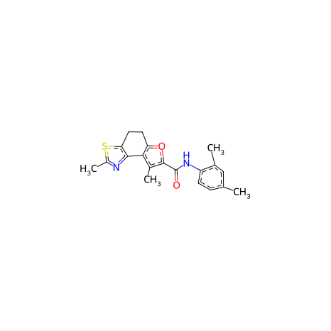 Cc1ccc(NC(=O)c2oc3c(c2C)-c2nc(C)sc2CC3)c(C)c1